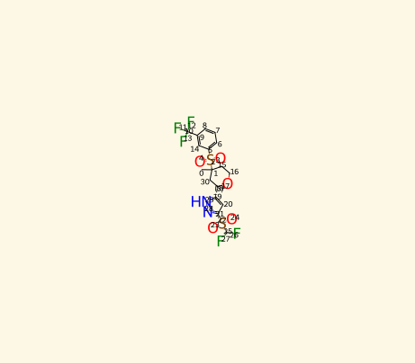 CC1(S(=O)(=O)c2cccc(C(F)(F)F)c2)CCO[C@H](c2cc(S(=O)(=O)C(F)F)n[nH]2)C1